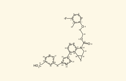 Cc1c(F)cccc1OCCOC(=O)N1CC2CC2c2c(-c3cnn(Cc4cccc(C(=O)O)c4)c3)cccc21